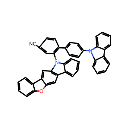 N#Cc1ccc(-c2ccc(-n3c4ccccc4c4ccccc43)cc2)c(-n2c3ccccc3c3cc4oc5ccccc5c4cc32)c1